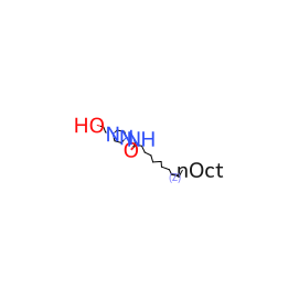 CCCCCCCC/C=C\CCCCCCCC(=O)NN1CCN(CCO)CC1